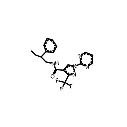 CCC(CNC(=O)c1cn(-c2ncccn2)nc1C(F)(F)F)c1ccccc1